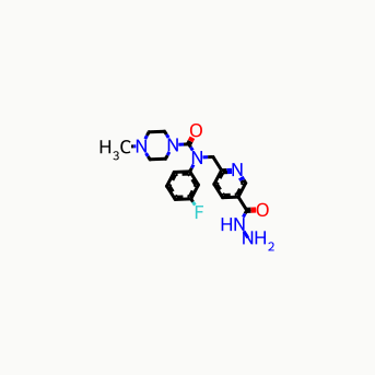 CN1CCN(C(=O)N(Cc2ccc(C(=O)NN)cn2)c2cccc(F)c2)CC1